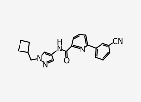 N#Cc1cccc(-c2cccc(C(=O)Nc3cnn(CC4CCC4)c3)n2)c1